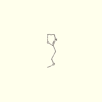 COCCC1=NCCO1